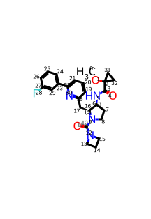 COC1(C(=O)N[C@H]2CCN(C(=O)N3CCC3)[C@H]2Cc2cccc(-c3cccc(F)c3)n2)CC1